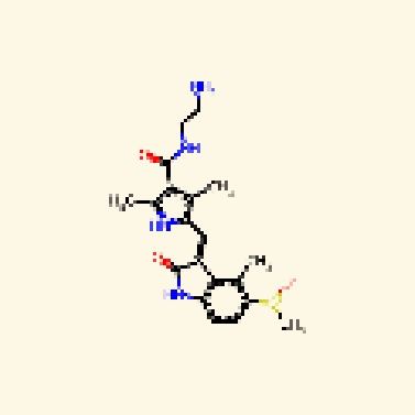 Cc1[nH]c(/C=C2\C(=O)Nc3ccc([S+](C)[O-])c(C)c32)c(C)c1C(=O)NCCN